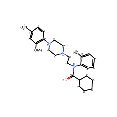 COc1cc([N+](=O)[O-])ccc1N1CCN(CCN(C(=O)C2CCCCC2)c2ccccc2C#N)CC1